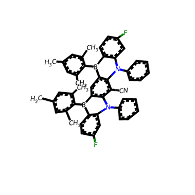 Cc1cc(C)c(B2c3ccc(F)cc3N(c3ccccc3)c3c2cc2c(c3C#N)N(c3ccccc3)c3cc(F)ccc3B2c2c(C)cc(C)cc2C)c(C)c1